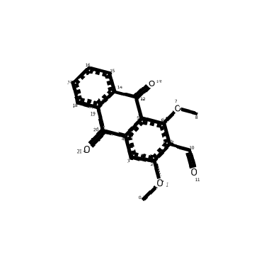 COc1cc2c(c(OC)c1C=O)C(=O)c1ccccc1C2=O